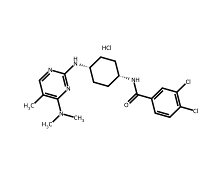 Cc1cnc(N[C@H]2CC[C@@H](NC(=O)c3ccc(Cl)c(Cl)c3)CC2)nc1N(C)C.Cl